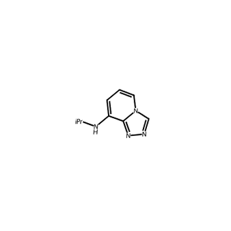 CC(C)Nc1cccn2cnnc12